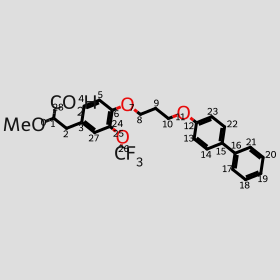 COC(Cc1ccc(OCCCOc2ccc(-c3ccccc3)cc2)c(OC(F)(F)F)c1)C(=O)O